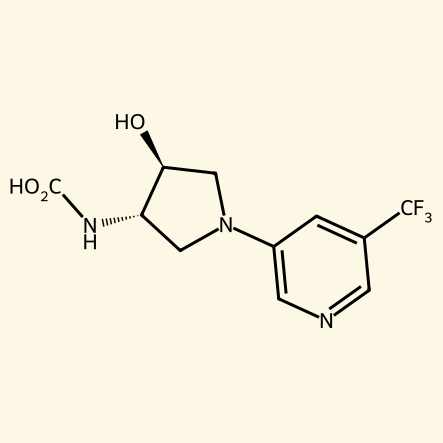 O=C(O)N[C@H]1CN(c2cncc(C(F)(F)F)c2)C[C@@H]1O